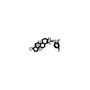 C[C@]12CCc3nc(Nc4ccc(F)cc4F)sc3C1CC[C@@H]1[C@@H]2CC[C@]2(C)C(=O)CC[C@@H]12